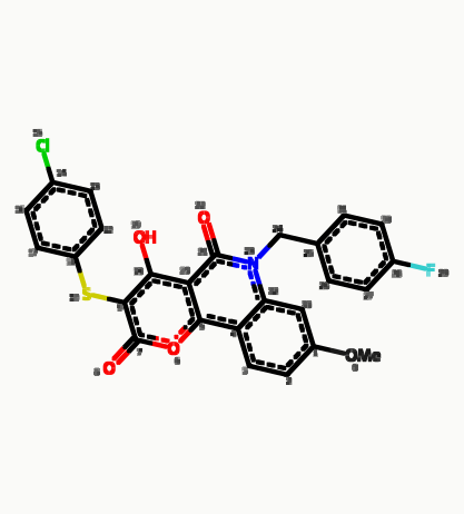 COc1ccc2c3oc(=O)c(Sc4ccc(Cl)cc4)c(O)c3c(=O)n(Cc3ccc(F)cc3)c2c1